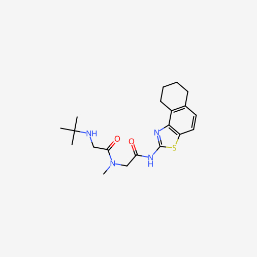 CN(CC(=O)Nc1nc2c3c(ccc2s1)CCCC3)C(=O)CNC(C)(C)C